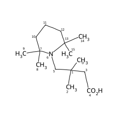 CC(C)(CC(=O)O)CN1C(C)(C)CCCC1(C)C